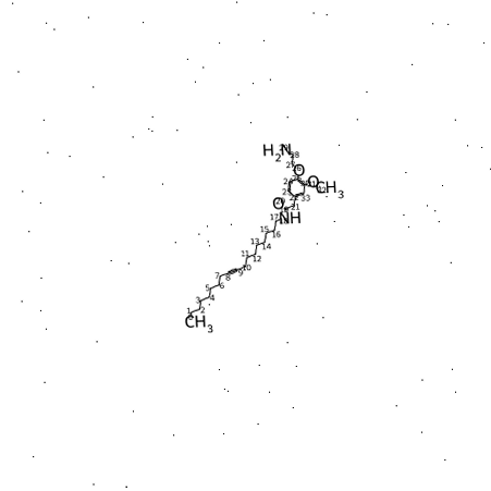 CCCCCCCCC#CCCCCCCCCNC(=O)Cc1ccc(OCCN)c(OC)c1